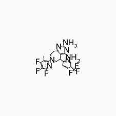 Cc1c(N2CCc3nc(N)nc(N)c3C(c3ccc(C(F)(F)F)cn3)C2)nc(F)c(F)c1F